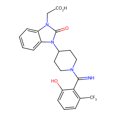 N=C(c1c(O)cccc1C(F)(F)F)N1CCC(n2c(=O)n(CC(=O)O)c3ccccc32)CC1